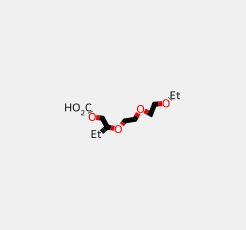 CCOCCOCCOC(CC)COC(=O)O